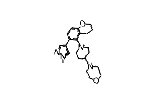 Cn1cc(-c2ccc3c(c2N2CCC(N4CCOCC4)CC2)CCCO3)cn1